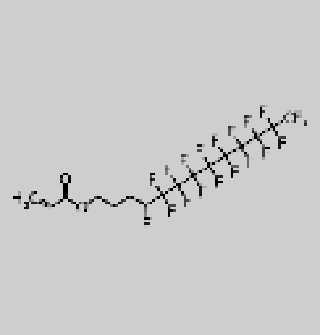 C=CC(=O)OCCCC(F)C(F)(F)C(F)(F)C(F)(F)C(F)(F)C(F)(F)C(F)(F)C(F)(F)C(F)(F)C(F)(F)F